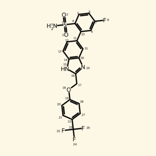 NS(=O)(=O)c1ccc(F)cc1-c1ccc2[nH]c(COc3ccc(C(F)(F)F)cc3)nc2c1